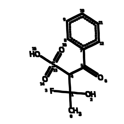 CC(O)(F)C(C(=O)c1ccccc1)S(=O)(=O)O